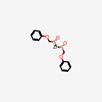 O=[S](COc1ccccc1)[Zr][S](=O)COc1ccccc1